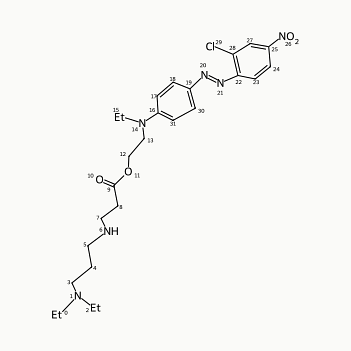 CCN(CC)CCCNCCC(=O)OCCN(CC)c1ccc(/N=N/c2ccc([N+](=O)[O-])cc2Cl)cc1